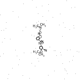 CCN(CC)CCON=C1CCc2c1cccc2-c1noc(-c2ccc(OC(C)C)c(C#N)c2)n1